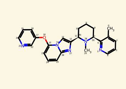 Cc1cccnc1[C@@H]1CCC[C@H](c2cn3c(Oc4cccnc4)cccc3n2)N1C